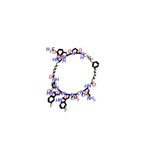 CN[C@H]1CCCCC(=O)N[C@H]2C[C@@H](C=O)N(C2)C(=O)[C@H](Cc2c[nH]c3ccc(F)cc23)NC(=O)C(Cc2c[nH]c3ccc(F)cc23)N(C)C(=O)CN(C)C(=O)[C@H](CCCN)NC(=O)CCSCc2cccc(c2)CCSCNC(=O)C2CCCN2C(=O)[C@H](Cc2ccc(OC)cc2)NC1=O